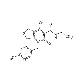 O=C(O)CNC(=O)c1c(O)c2c(n(Cc3ccc(C(F)(F)F)nc3)c1=O)CSC2